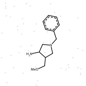 COCC1CN(Cc2ccccc2)CC1N